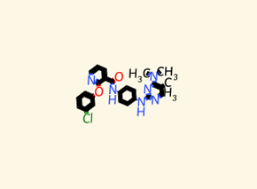 Cc1cnc(N[C@H]2CC[C@@H](NC(=O)c3cccnc3Oc3cccc(Cl)c3)CC2)nc1N(C)C